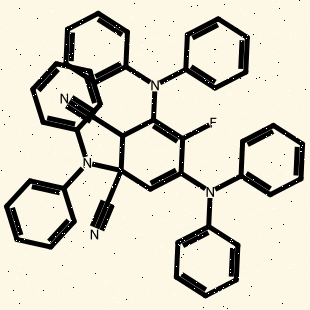 N#CC1C(N(c2ccccc2)c2ccccc2)=C(F)C(N(c2ccccc2)c2ccccc2)=CC1(C#N)N(c1ccccc1)c1ccccc1